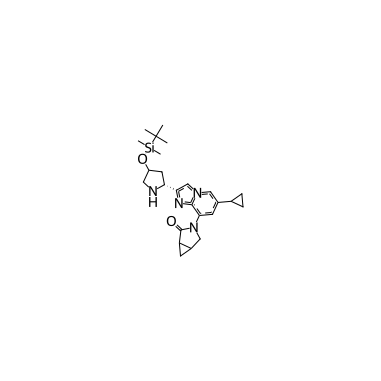 CC(C)(C)[Si](C)(C)OC1CN[C@@H](c2cn3cc(C4CC4)cc(N4CC5CC5C4=O)c3n2)C1